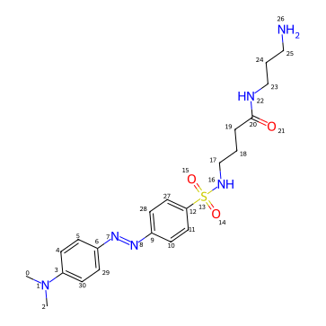 CN(C)c1ccc(N=Nc2ccc(S(=O)(=O)NCCCC(=O)NCCCN)cc2)cc1